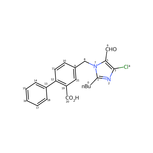 CCCCc1nc(Cl)c(C=O)n1Cc1ccc(-c2ccccc2)c(C(=O)O)c1